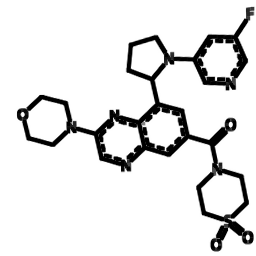 O=C(c1cc(C2CCCN2c2cncc(F)c2)c2nc(N3CCOCC3)cnc2c1)N1CCS(=O)(=O)CC1